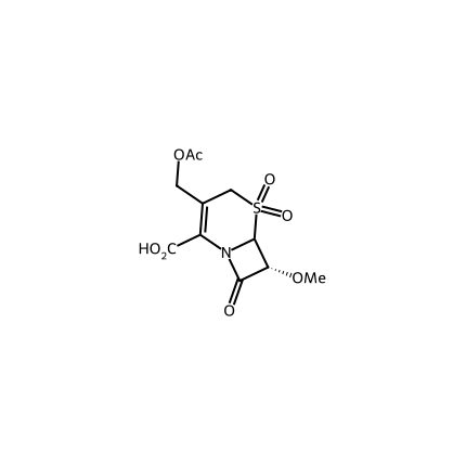 CO[C@@H]1C(=O)N2C(C(=O)O)=C(COC(C)=O)CS(=O)(=O)C12